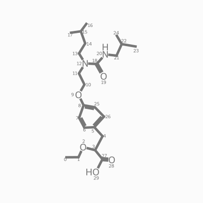 CCOC(Cc1ccc(OCCN(CCC(C)C)C(=O)NCC(C)C)cc1)C(=O)O